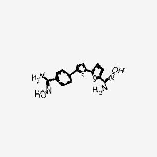 N/C(=N\O)c1ccc(-c2ccc(-c3ccc(/C(N)=N\O)s3)s2)cc1